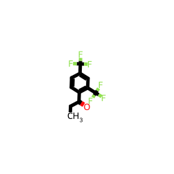 CCC(=O)c1ccc(C(F)(F)F)cc1C(F)(F)F